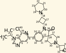 CC(C)n1cnc2cc(-c3ccc4c(c3)N([C@H]3C[C@@H](N5CCCCC5)C3)C(=O)C43CCN(C4COC4)CC3)nc(Cl)c21